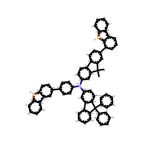 CC1(C)c2cc(-c3cccc4c3sc3ccccc34)ccc2-c2ccc(N(c3ccc(-c4ccc5sc6ccccc6c5c4)cc3)c3ccc4c(c3)-c3ccccc3C4(c3ccccc3)c3ccccc3)cc21